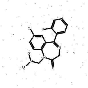 C[S+]([O-])CN1C(=O)CN=C(c2ccccc2F)c2cc(Cl)ccc21